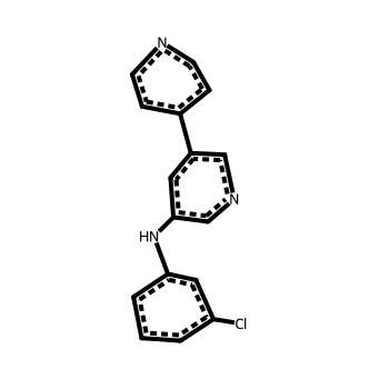 Clc1cccc(Nc2cncc(-c3ccncc3)c2)c1